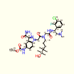 C[C@H](CCC(C)(C)[Si](C)(C)O)N(CC(=O)N[C@H](CN(C)C)c1cccc(Cl)c1F)C(=O)Cn1nc(C(N)=O)c2cc(NC(=O)OC(C)(C)C)ccc21